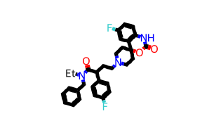 CCN(Cc1ccccc1)C(=O)C(CCN1CCC2(CC1)OC(=O)Nc1ccc(F)cc12)c1ccc(F)cc1